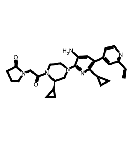 C=Cc1cc(-c2cc(N)c(N3CCN(C(=O)CN4CCCC4=O)[C@H](C4CC4)C3)nc2C2CC2)ccn1